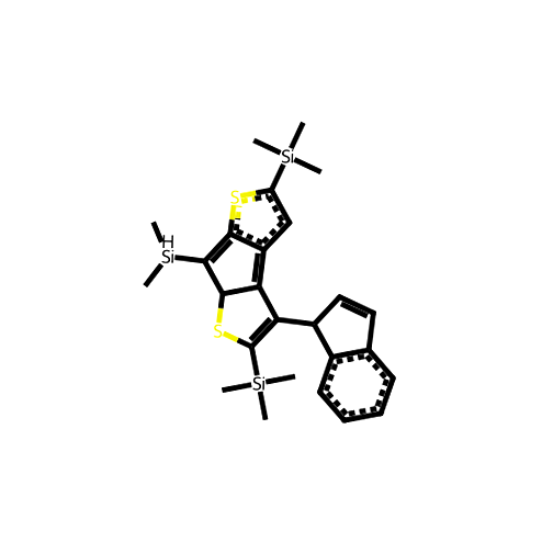 C[SiH](C)C1=c2sc([Si](C)(C)C)cc2=C2C(C3C=Cc4ccccc43)=C([Si](C)(C)C)SC21